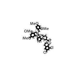 COc1ccc(CN(Cc2ccc(OC)cc2OC)c2nc3cncc(N4CC(C(=O)N5CCc6cc(Cl)cc(Cl)c6[C@@H]5C)CCC4C)c3o2)c(OC)c1